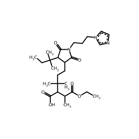 CCOC(=O)C(C)C(C(=O)O)C(C)(C)CCC1C(=O)N(CCCn2ccnc2)C(=O)C1C(C)(C)CC